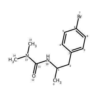 CC(Cc1ccc(Br)cc1)NC(=O)N(C)C